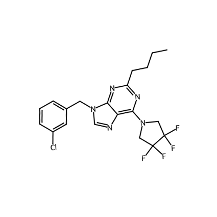 CCCCc1nc(N2CC(F)(F)C(F)(F)C2)c2ncn(Cc3cccc(Cl)c3)c2n1